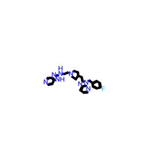 Fc1ccc(Cn2c(CC3CCN(CCNc4nc5cnccc5[nH]4)CC3)nc3cccnc32)cc1